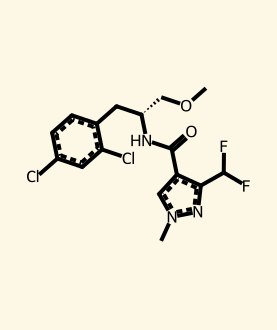 COC[C@@H](Cc1ccc(Cl)cc1Cl)NC(=O)c1cn(C)nc1C(F)F